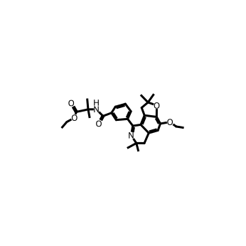 CCOC(=O)C(C)(C)NC(=O)c1cccc(C2=NC(C)(C)Cc3cc(OCC)c4c(c32)CC(C)(C)O4)c1